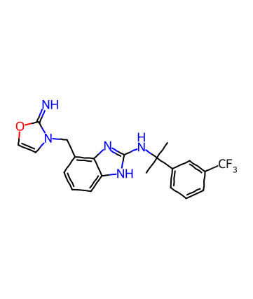 CC(C)(Nc1nc2c(Cn3ccoc3=N)cccc2[nH]1)c1cccc(C(F)(F)F)c1